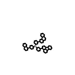 c1cc(-c2ccc3ccc4ccccc4c3c2)cc(N(c2ccc(-c3cccc4ccccc34)cc2)c2cccc(-c3ccc4c5c(cccc35)-c3ccccc3-4)c2)c1